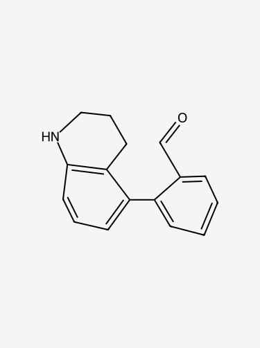 O=Cc1ccccc1-c1cccc2c1CCCN2